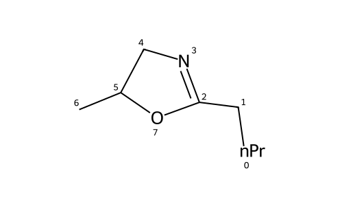 CCCCC1=NCC(C)O1